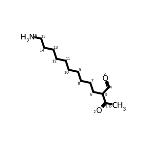 CC(=O)C([C]=O)CCCCCCCCCCN